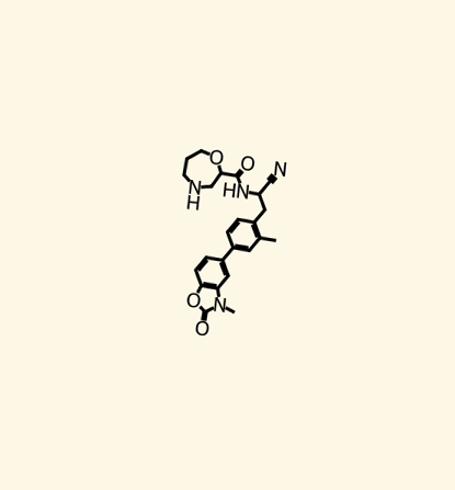 Cc1cc(-c2ccc3oc(=O)n(C)c3c2)ccc1CC(C#N)NC(=O)C1CNCCCO1